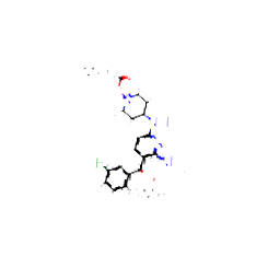 COC(=O)ON1CCC(Nc2ccc(C(=O)c3cc(F)ccc3OC)c(N)n2)CC1